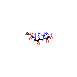 C[C@@H](NC(=O)OC(C)(C)C)C(=O)C(N)Cn1[c]n[nH]c(=O)c1=O